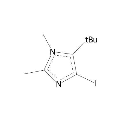 Cc1nc(I)c(C(C)(C)C)n1C